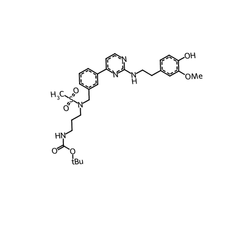 COc1cc(CCNc2nccc(-c3cccc(CN(CCCNC(=O)OC(C)(C)C)S(C)(=O)=O)c3)n2)ccc1O